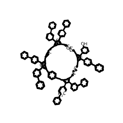 C/C=C(\C=C/Cc1ccccc1)C1=C2C(=O)C(=C1c1cccc(-c3ccccc3)c1)c1ccc(cc1)C1=C(c3ccc(-c4ccccc4)cc3)C(c3cccc(O)c3)=C(C1=O)c1ccc(cc1)C1=C(C3=CCC(c4ccccc4)C=C3)C(C3C=C(c4ccccc4)C=CC3)=C(C1=O)C1C=CC(=CC1)C1=C(c3ccc(-c4ccccc4)cc3)C(c3cccc(-c4ccccc4)c3)=C(C1=O)c1ccc2cc1